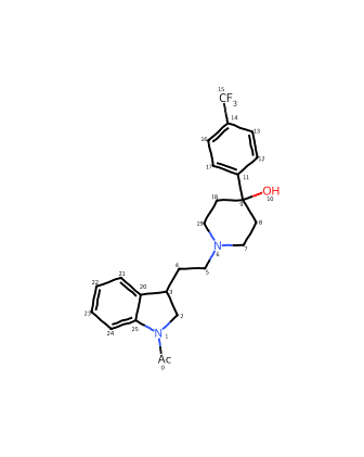 CC(=O)N1CC(CCN2CCC(O)(c3ccc(C(F)(F)F)cc3)CC2)c2ccccc21